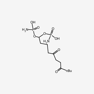 CCCCC(=O)CCC(=O)CCCC(OP(N)(=O)O)OP(N)(=O)O